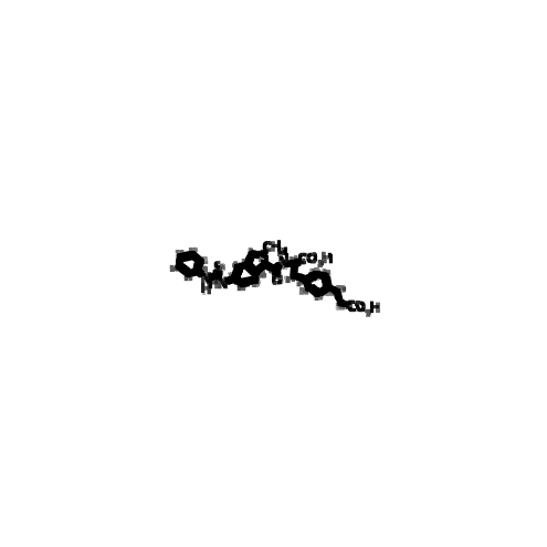 CN1Cc2cc(NC(=S)Nc3ccccc3)ccc2C1C(=O)NC(Cc1ccc(CCC(=O)O)cc1)C(=O)O